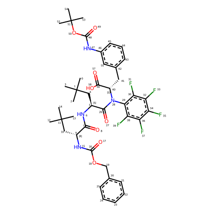 CC(C)(C)C[C@H](NC(=O)[C@@H](CC(C)(C)C)NC(=O)OCc1ccccc1)C(=O)N(c1c(F)c(F)c(F)c(F)c1F)[C@@H](Cc1cccc(NC(=O)OC(C)(C)C)c1)C(=O)O